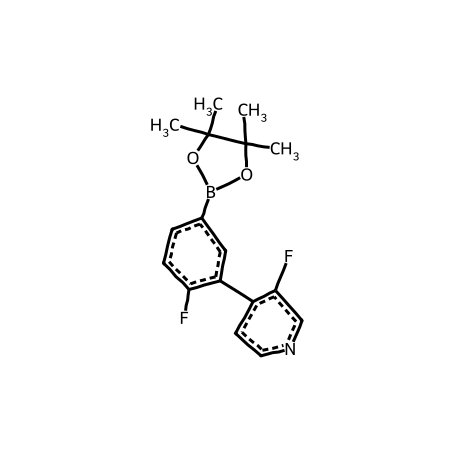 CC1(C)OB(c2ccc(F)c(-c3ccncc3F)c2)OC1(C)C